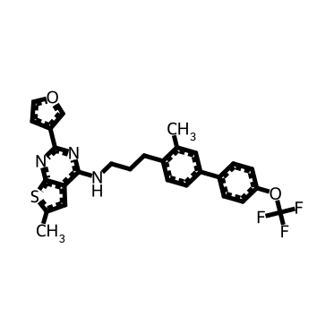 Cc1cc2c(NCCCc3ccc(-c4ccc(OC(F)(F)F)cc4)cc3C)nc(-c3ccoc3)nc2s1